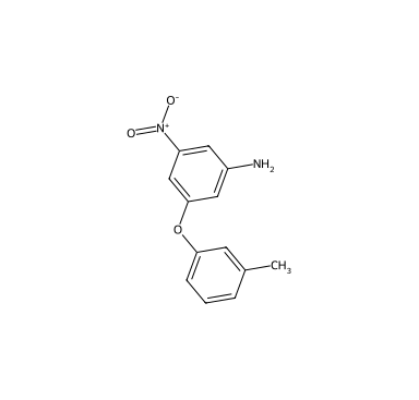 Cc1cccc(Oc2cc(N)cc([N+](=O)[O-])c2)c1